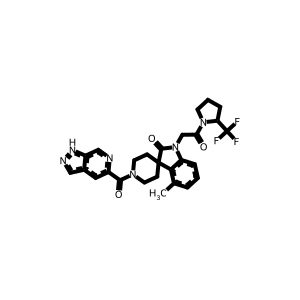 Cc1cccc2c1C1(CCN(C(=O)c3cc4cn[nH]c4cn3)CC1)C(=O)N2CC(=O)N1CCCC1C(F)(F)F